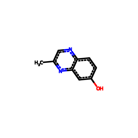 Cc1cnc2ccc(O)cc2n1